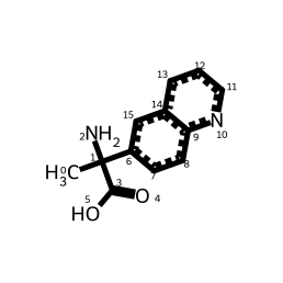 CC(N)(C(=O)O)c1ccc2ncccc2c1